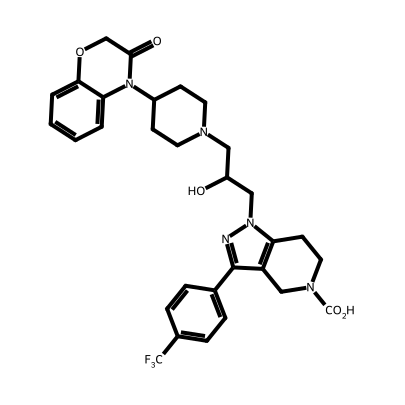 O=C(O)N1CCc2c(c(-c3ccc(C(F)(F)F)cc3)nn2CC(O)CN2CCC(N3C(=O)COc4ccccc43)CC2)C1